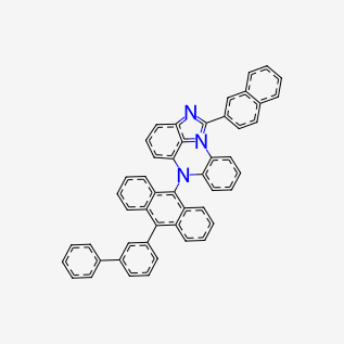 c1ccc(-c2cccc(-c3c4ccccc4c(N4c5ccccc5-n5c(-c6ccc7ccccc7c6)nc6cccc4c65)c4ccccc34)c2)cc1